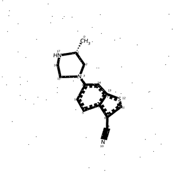 C[C@@H]1CN(c2ccc3c(C#N)csc3c2)CCN1